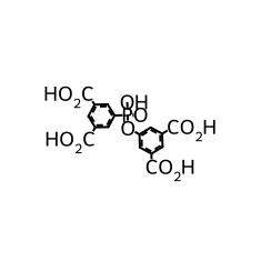 O=C(O)c1cc(OP(=O)(O)c2cc(C(=O)O)cc(C(=O)O)c2)cc(C(=O)O)c1